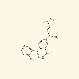 Cc1ccccc1-c1c[nH]c(=O)c2cc(N(C)CCC(N)=O)ccc12